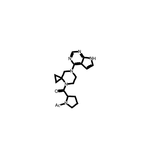 CC(=O)N1CCCC1C(=O)N1CCN(c2ncnc3[nH]ccc23)CC12CC2